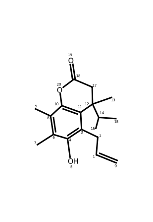 C=CCc1c(O)c(C)c(C)c2c1C(C)(C(C)C)CC(=O)O2